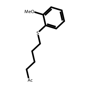 COc1ccccc1SCCCCC(C)=O